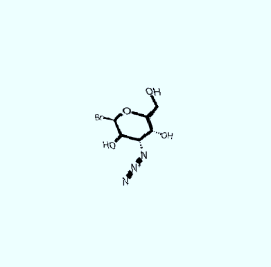 [N-]=[N+]=N[C@@H]1C(O)[C@@H](Br)OC(CO)[C@@H]1O